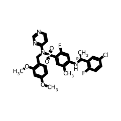 COc1ccc(CN(c2ccncn2)S(=O)(=O)c2cc(C)c(N[C@@H](C)c3cc(Cl)ccc3F)cc2F)c(OC)c1